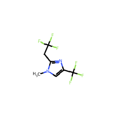 Cn1cc(C(F)(F)F)nc1[CH]C(F)(F)F